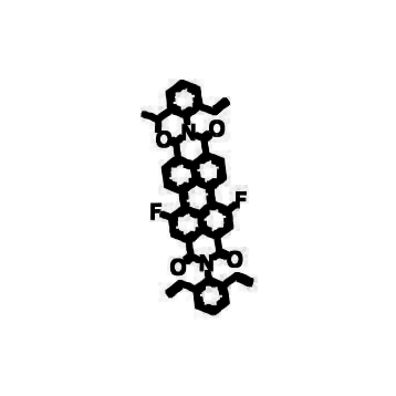 C=Cc1cccc(C=C)c1N1C(=O)c2cc(F)c3c4ccc5c6c(ccc(c7c(F)cc(c2c37)C1=O)c64)C(=O)N(c1c(C=C)cccc1C(C)C)C5=O